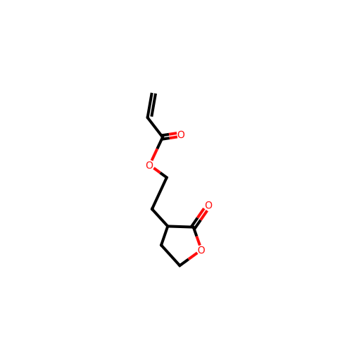 C=CC(=O)OCCC1CCOC1=O